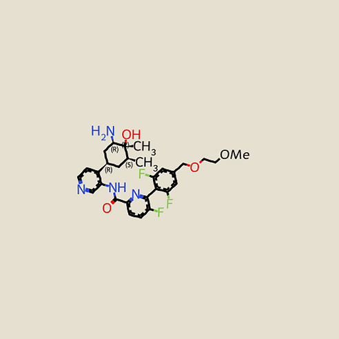 COCCOCc1cc(F)c(-c2nc(C(=O)Nc3cnccc3[C@H]3C[C@@H](N)[C@](C)(O)[C@@H](C)C3)ccc2F)c(F)c1